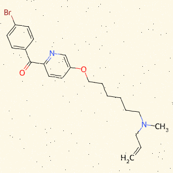 C=CCN(C)CCCCCCOc1ccc(C(=O)c2ccc(Br)cc2)nc1